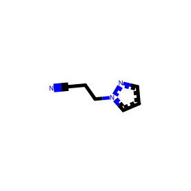 N#CCCn1c[c]cn1